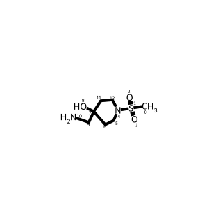 CS(=O)(=O)N1CCC(O)(CN)CC1